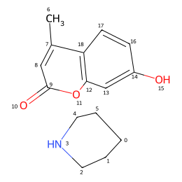 C1CCNCC1.Cc1cc(=O)oc2cc(O)ccc12